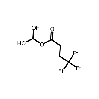 CCC(CC)(CC)CCC(=O)OC(O)O